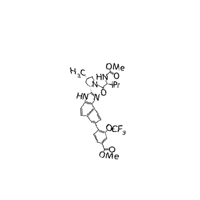 COC(=O)N[C@H](C(=O)N1C[C@@H](C)C[C@H]1c1nc2c(ccc3cc(-c4ccc(C(=O)OC)cc4OC(F)(F)F)ccc32)[nH]1)C(C)C